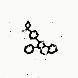 OC1(c2ccc(-c3nc4n(c3-c3ccccc3)COc3ccncc3-4)cc2)CCC1